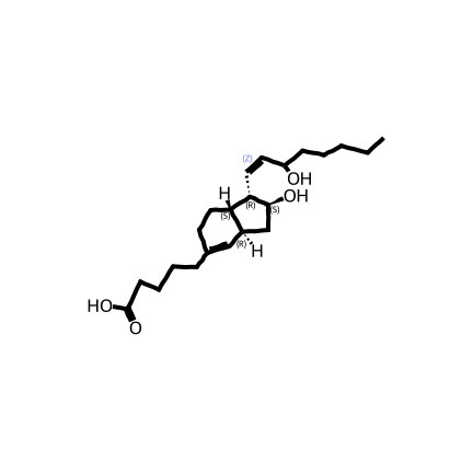 CCCCCC(O)/C=C\[C@H]1[C@H]2CCC(CCCCC(=O)O)=C[C@@H]2C[C@@H]1O